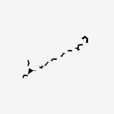 CCC[C@@H]1[C@H](CCC)[C@@H]1COC(=O)NCCOCCOCCOCCNC(=O)CCN1C(=O)C=CC1=O